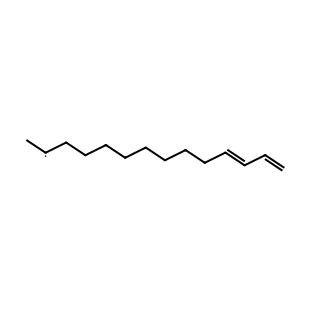 C=C/C=C/CCCCCCCC[CH]C